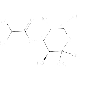 CC(C)C(=O)O[C@@H]1[C@H](O)[C@H](O)OC(C)(C)[C@H]1O